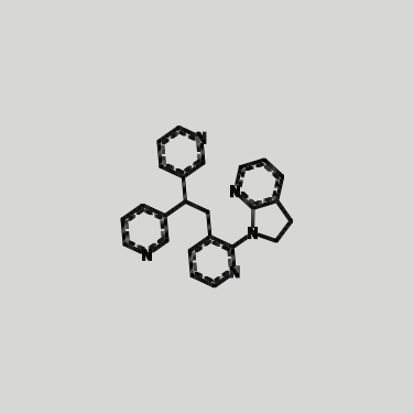 c1cncc(C(Cc2cccnc2N2CCc3cccnc32)c2cccnc2)c1